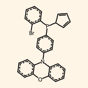 Brc1ccccc1P(c1ccc(N2c3ccccc3Oc3ccccc32)cc1)C1C=CC=C1